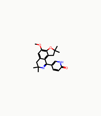 COc1cc2c(c3c1OC(C)(C)C3)C(c1ccc(=O)[nH]c1)=NC(C)(C)C2